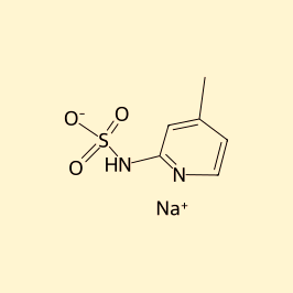 Cc1ccnc(NS(=O)(=O)[O-])c1.[Na+]